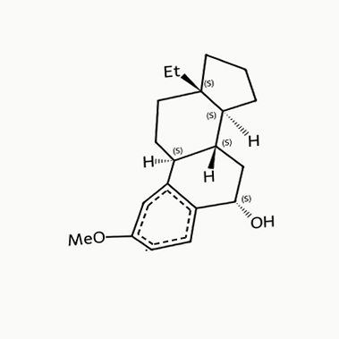 CC[C@@]12CCC[C@H]1[C@@H]1C[C@H](O)c3c[c]c(OC)cc3[C@H]1CC2